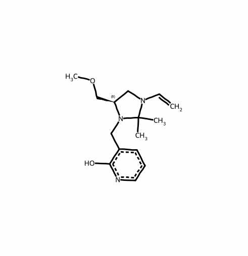 C=CN1C[C@H](COC)N(Cc2cccnc2O)C1(C)C